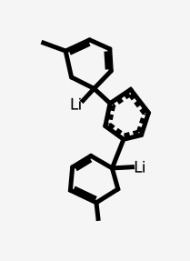 [Li][C]1(c2cccc([C]3([Li])C=CC=C(C)C3)c2)C=CC=C(C)C1